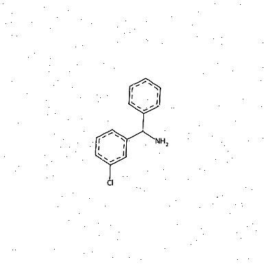 NC(c1ccccc1)c1cccc(Cl)c1